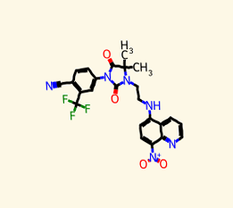 CC1(C)C(=O)N(c2ccc(C#N)c(C(F)(F)F)c2)C(=O)N1CCNc1ccc([N+](=O)[O-])c2ncccc12